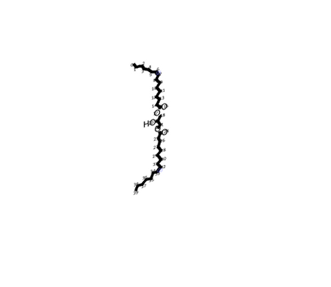 CCCCCC/C=C\CCCCCCCC(=O)OCC(O)COC(=O)CCCCCCC/C=C\CCCCCC